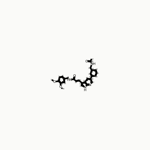 COc1ccc(CNC(=O)/C=C/c2c[nH]c3ncc(-c4cccc(CNC(C)=O)c4)cc23)cc1OC